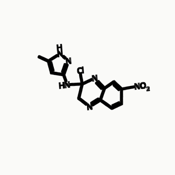 Cc1cc(NC2(Cl)CN=c3ccc([N+](=O)[O-])cc3=N2)n[nH]1